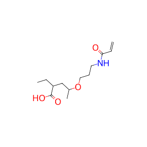 C=CC(=O)NCCCOC(C)CC(CC)C(=O)O